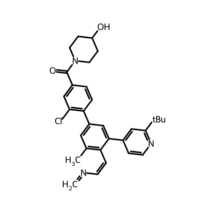 C=N/C=C\c1c(C)cc(-c2ccc(C(=O)N3CCC(O)CC3)cc2Cl)cc1-c1ccnc(C(C)(C)C)c1